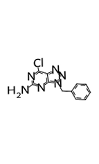 Nc1nc(Cl)c2nnn(Cc3ccccc3)c2n1